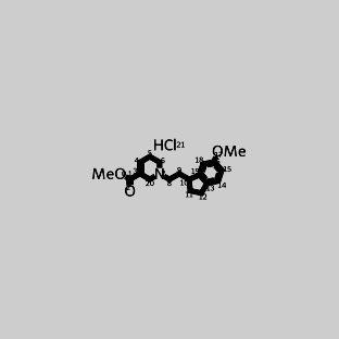 COC(=O)C1=CCCN(CCC2CCc3ccc(OC)cc32)C1.Cl